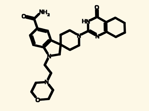 NC(=O)c1ccc2c(c1)C1(CCN(c3nc4c(c(=O)[nH]3)CCCC4)CC1)CN2CCN1CCOCC1